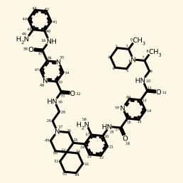 CC1CCCCN1C(C)CNC(=O)c1ccc(C(=O)Nc2cccc(C3CN(CCNC(=O)c4cnc(C(=O)Nc5ccccc5N)cn4)CCC34CCCCC4)c2N)nc1